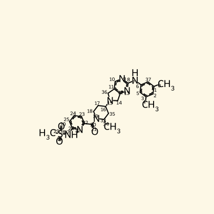 Cc1cc(C)cc(Nc2ncc3c(n2)CN([C@@H]2CCN(C(=O)c4cccc(NS(C)(=O)=O)n4)[C@H](C)C2)C3)c1